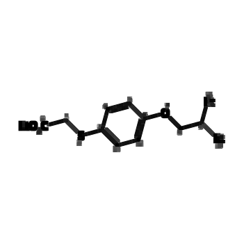 CCOC(=O)CSc1ccc(OCC(CC)CC)cc1